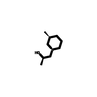 C[C@@H]1CCCN(C[C@@H](C)O)C1